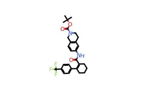 CC(C)(C)OC(=O)N1CCc2cc(NC(=O)C3=C(c4ccc(C(F)(F)F)cc4)CCCC3)ccc2C1